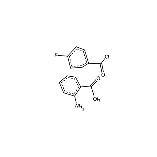 Nc1ccccc1C(=O)O.O=C(Cl)c1ccc(F)cc1